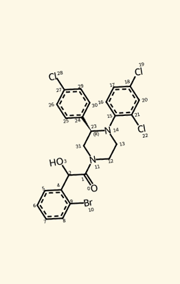 O=C(C(O)c1ccccc1Br)N1CCN(c2ccc(Cl)cc2Cl)[C@H](c2ccc(Cl)cc2)C1